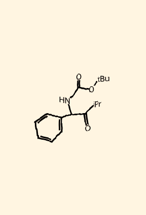 CC(C)C(=O)C(NC(=O)OC(C)(C)C)c1ccccc1